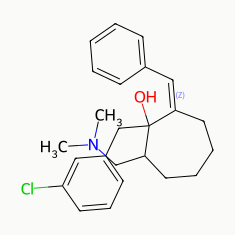 CN(C)CC1CCCC/C(=C/c2ccccc2)C1(O)Cc1cccc(Cl)c1